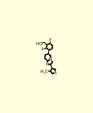 Cc1cscc1-c1cn2cc(-c3ccc(F)c(CO)c3F)ccc2n1